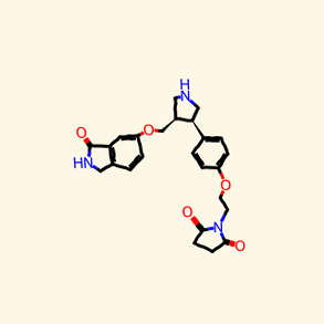 O=C1NCc2ccc(OC[C@H]3CNC[C@H]3c3ccc(OCCN4C(=O)CCC4=O)cc3)cc21